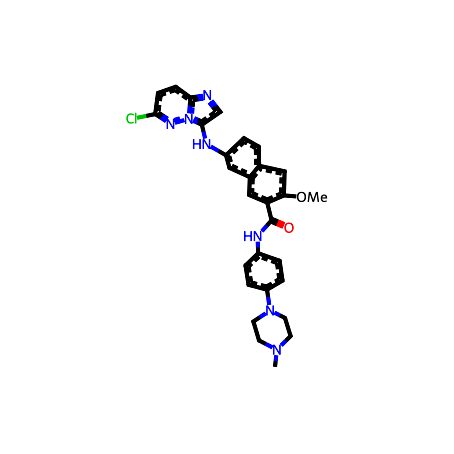 COc1cc2ccc(Nc3cnc4ccc(Cl)nn34)cc2cc1C(=O)Nc1ccc(N2CCN(C)CC2)cc1